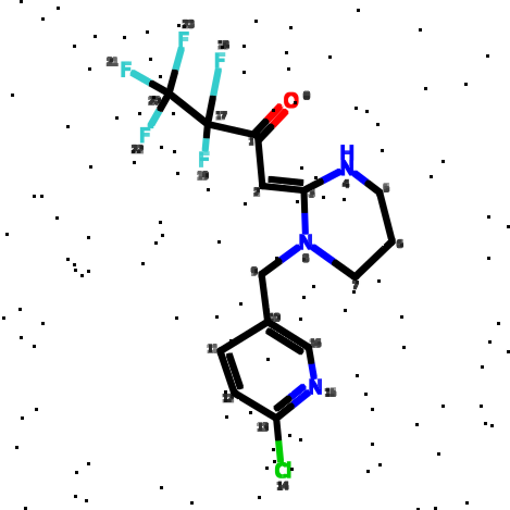 O=C(C=C1NCCCN1Cc1ccc(Cl)nc1)C(F)(F)C(F)(F)F